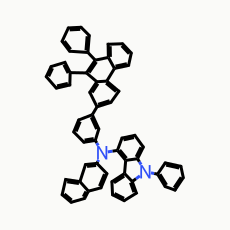 c1ccc(-c2c(-c3ccccc3)c3cc(-c4cccc(N(c5ccc6ccccc6c5)c5cccc6c5c5ccccc5n6-c5ccccc5)c4)ccc3c3ccccc23)cc1